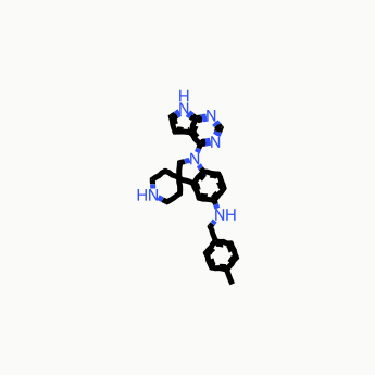 Cc1ccc(CNc2ccc3c(c2)C2(CCNCC2)CN3c2ncnc3[nH]ccc23)cc1